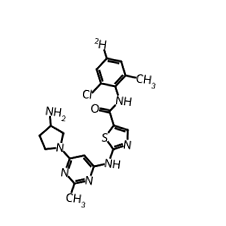 [2H]c1cc(C)c(NC(=O)c2cnc(Nc3cc(N4CCC(N)C4)nc(C)n3)s2)c(Cl)c1